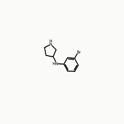 Brc1cccc(NC2CCNC2)c1